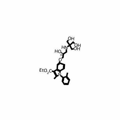 CCOC(=O)c1c(C)n(-c2ccccc2C)c2ccc(OC[C@@H](O)CNC(CO)(CO)CO)cc12